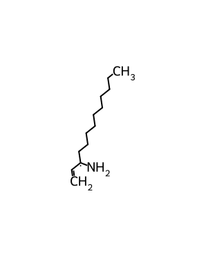 C=C[C](N)CCCCCCCCCC